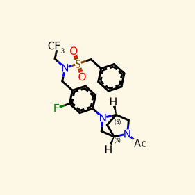 CC(=O)N1C[C@@H]2C[C@H]1CN2c1ccc(CN(CC(F)(F)F)S(=O)(=O)Cc2ccccc2)c(F)c1